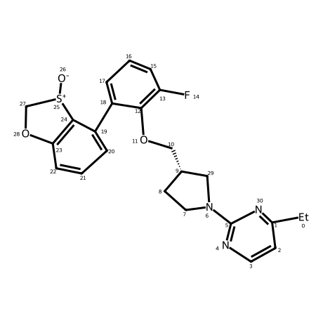 CCc1ccnc(N2CC[C@H](COc3c(F)cccc3-c3cccc4c3[S+]([O-])CO4)C2)n1